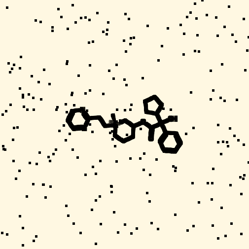 C[N@+]1(CCc2ncccn2)CCCC(OC(=O)C(O)(c2ccccc2)C2CCCC2)C1